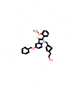 COc1ccccc1-c1c(F)c2cc(OCc3ccccc3)ccc2n1Cc1ccc(CCO)cc1